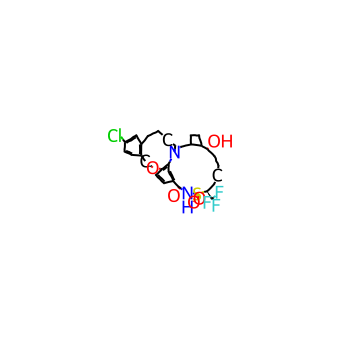 O=C1NS(=O)(=O)[C@H](C(F)(F)F)CCCCC(O)C2CCC2CN2CCCCc3cc(Cl)ccc3COc3ccc1cc32